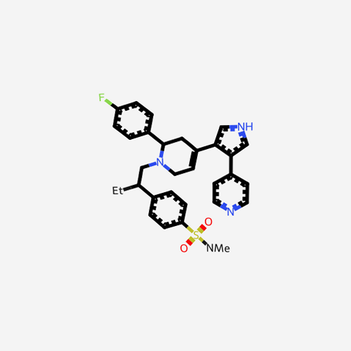 CCC(CN1CC=C(c2c[nH]cc2-c2ccncc2)CC1c1ccc(F)cc1)c1ccc(S(=O)(=O)NC)cc1